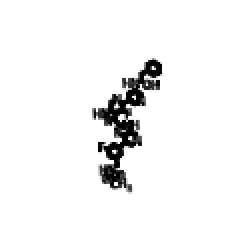 CS(=O)(=O)NCc1cc(F)cc(-c2cncc3[nH]c(-c4n[nH]c5cnc(-c6cncc(NC(O)Cc7ccccc7)c6)c(F)c45)nc23)c1